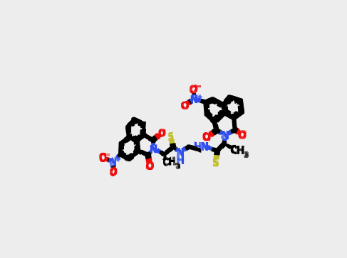 C[C@@H](C(=S)NCCNC(=S)[C@H](C)N1C(=O)c2cccc3cc([N+](=O)[O-])cc(c23)C1=O)N1C(=O)c2cccc3cc([N+](=O)[O-])cc(c23)C1=O